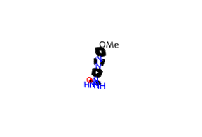 COc1ccc(N2CCN(c3ccc(N4[C]NNC4=O)cc3)CC2)cc1